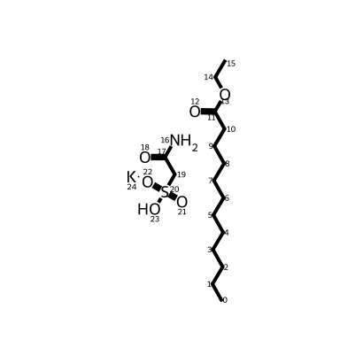 CCCCCCCCCCCC(=O)OCC.NC(=O)CS(=O)(=O)O.[K]